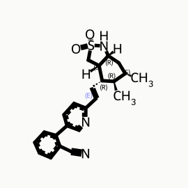 C[C@H]1[C@H](/C=C/c2ccc(-c3ccccc3C#N)cn2)[C@@H]2CS(=O)(=O)N[C@@H]2C[C@@H]1C